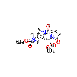 CC(C)(C)OC(=O)CN1C(=O)CC[C@H]1C(=O)N1CC2CC(CN(C(=O)OC(C)(C)C)C2)C1